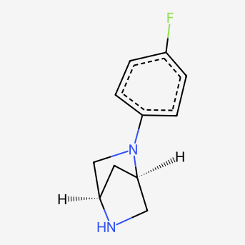 Fc1ccc(N2C[C@H]3C[C@@H]2CN3)cc1